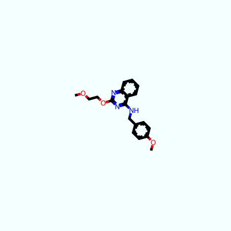 COCCOc1nc(NCc2ccc(OC)cc2)c2ccccc2n1